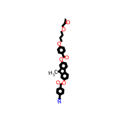 CC1c2cc(OC(=O)c3ccc(C#N)cc3)ccc2-c2ccc(OC(=O)c3ccc(OCCCCOCC4CO4)cc3)cc21